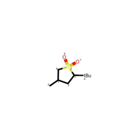 CC1CC(C(C)(C)C)S(=O)(=O)C1